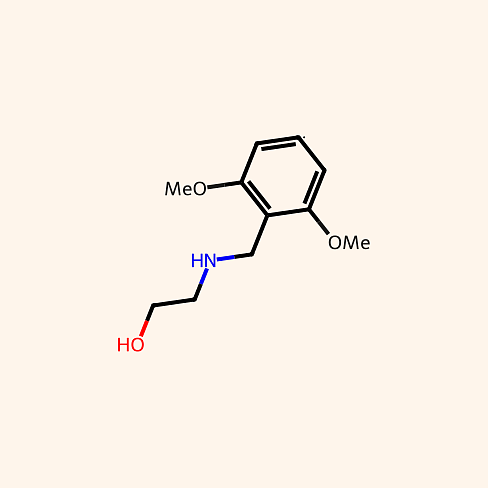 COc1c[c]cc(OC)c1CNCCO